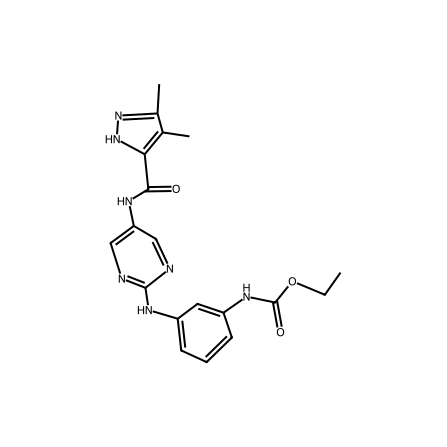 CCOC(=O)Nc1cccc(Nc2ncc(NC(=O)c3[nH]nc(C)c3C)cn2)c1